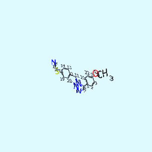 COc1ccc(-c2cnnn2Cc2ccc(SC#N)cc2)cc1